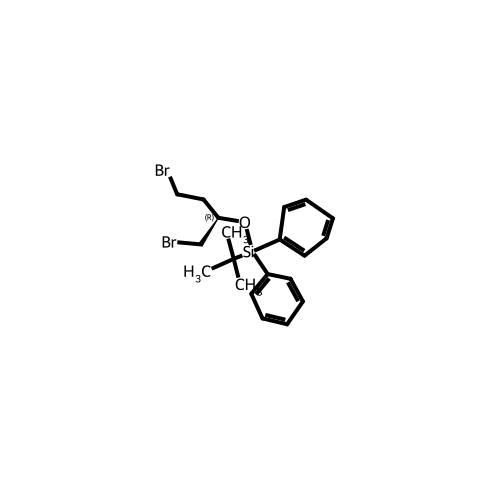 CC(C)(C)[Si](O[C@@H](CBr)CCBr)(c1ccccc1)c1ccccc1